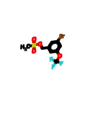 CS(=O)(=O)OCc1cc(Br)cc(OC(F)(F)F)c1